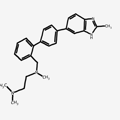 Cc1nc2ccc(-c3ccc(-c4ccccc4CN(C)CCN(C)C)cc3)cc2[nH]1